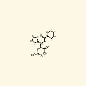 O=C(O)CC(C(=O)O)=C(CC(=O)C1CCCCC1)C1CCCC1